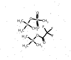 C[Si](C)(C)OC(=O)C(F)(F)F.C[Si](C)(C)OS(C)(=O)=O